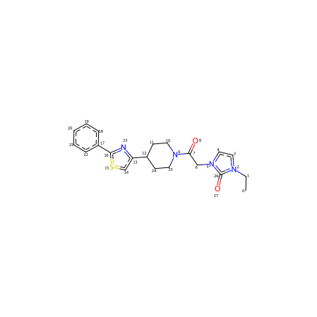 CCn1ccn(CC(=O)N2CCC(c3csc(-c4ccccc4)n3)CC2)c1=O